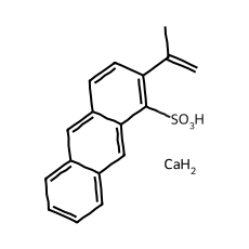 C=C(C)c1ccc2cc3ccccc3cc2c1S(=O)(=O)O.[CaH2]